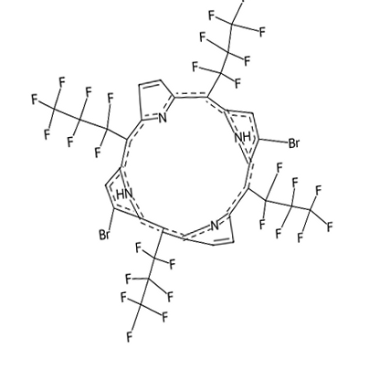 FC(F)(F)C(F)(F)C(F)(F)c1c2nc(c(C(F)(F)C(F)(F)C(F)(F)F)c3cc(Br)c([nH]3)c(C(F)(F)C(F)(F)C(F)(F)F)c3nc(c(C(F)(F)C(F)(F)C(F)(F)F)c4[nH]c1cc4Br)C=C3)C=C2